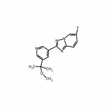 COC(C)(C)c1cncc(-c2nc3ccc(F)cn3n2)c1